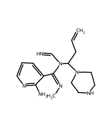 C=CCC(N1CCNCC1)N(C=N)C(=NC)c1cccnc1N